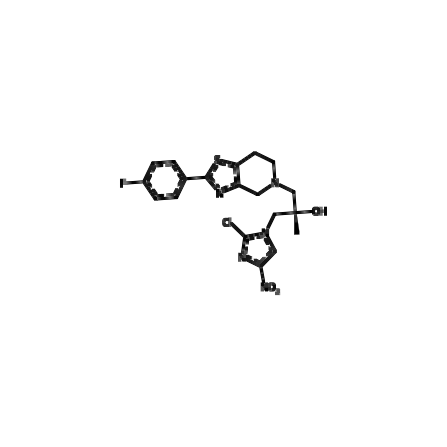 C[C@](O)(CN1CCc2sc(-c3ccc(F)cc3)nc2C1)Cn1cc([N+](=O)[O-])nc1Cl